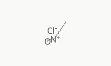 CCCCCCCCCCCCCC[N+](C)(C)CCC1CO1.[Cl-]